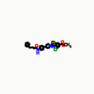 COC(=O)c1cc(Cl)c(NC(=O)N2CCC(c3ccc(NC(=O)CCCc4ccccc4)cc3)CC2)c(Cl)c1